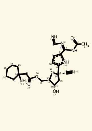 CC(=O)N/C(=N/C=N)c1ccc([C@@]2(C#N)C[C@H](O)[C@@H](COC(=O)CC3(N)CCCCC3)O2)[nH]1